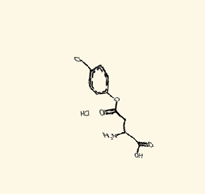 Cl.NC(CC(=O)Oc1ccc(Cl)cc1)C(=O)O